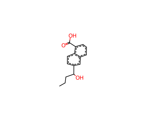 CCCC(O)c1ccc2c(C(=O)O)cccc2c1